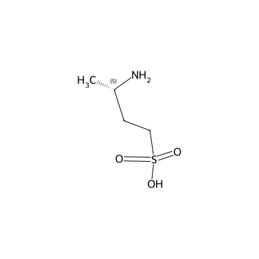 C[C@H](N)CCS(=O)(=O)O